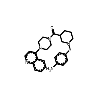 Nc1ccc(SN2CCCC(C(=O)N3CCN(c4ccnc5ccccc45)CC3)C2)cc1